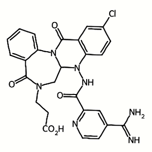 N=C(N)c1ccnc(C(=O)NN2c3ccc(Cl)cc3C(=O)N3c4ccccc4C(=O)N(CCC(=O)O)CC23)c1